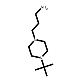 CC(C)(C)N1CCN(CCCN)CC1